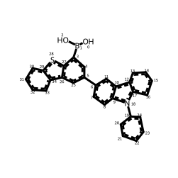 OB(O)c1cc(-c2ccc3c(c2)c2ccccc2n3-c2ccccc2)cc2c1sc1ccccc12